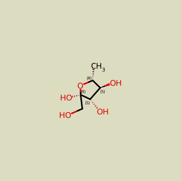 C[C@H]1O[C@](O)(CO)[C@@H](O)[C@@H]1O